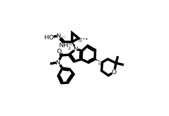 C[C@H]1C[C@]1(/C(N)=N/O)n1c(C(=O)N(C)c2ccccc2)cc2cc([C@H]3CCOC(C)(C)C3)ccc21